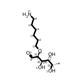 C[C@H](O)[C@@H](O)[C@@H](O)[C@@H](C=O)OCCCCCCN